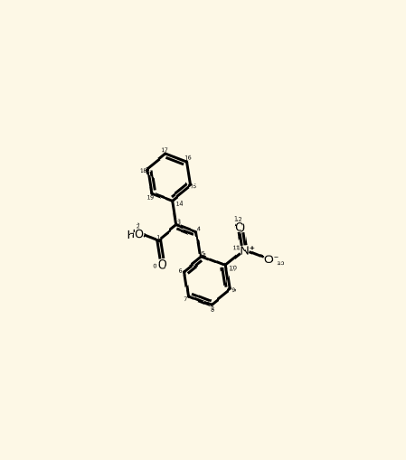 O=C(O)/C(=C\c1ccccc1[N+](=O)[O-])c1ccccc1